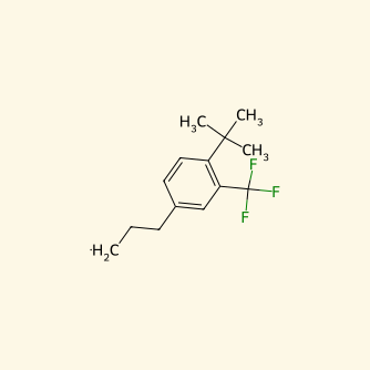 [CH2]CCc1ccc(C(C)(C)C)c(C(F)(F)F)c1